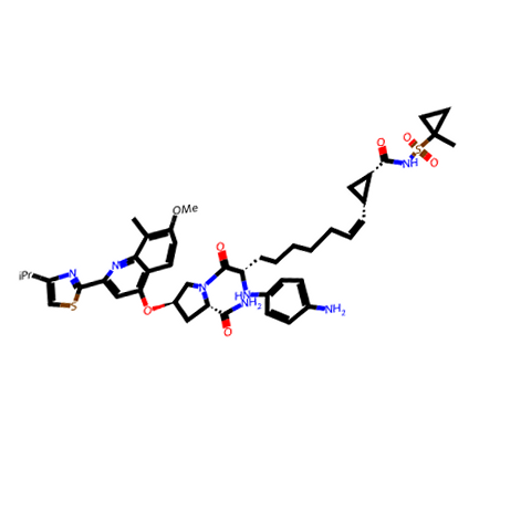 COc1ccc2c(O[C@@H]3C[C@@H](C(N)=O)N(C(=O)[C@H](CCCCC/C=C\[C@@H]4C[C@@H]4C(=O)NS(=O)(=O)C4(C)CC4)Nc4ccc(N)cc4)C3)cc(-c3nc(C(C)C)cs3)nc2c1C